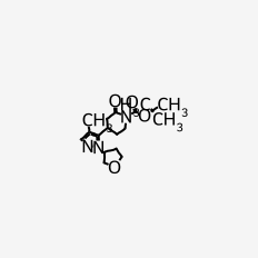 Cc1cnn([C@H]2CCOC2)c1C1CCN(C(=O)OC(C)(C)C)C(=O)C1